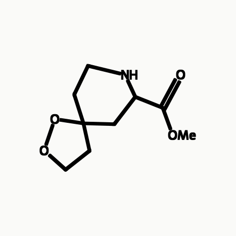 COC(=O)C1CC2(CCN1)CCOO2